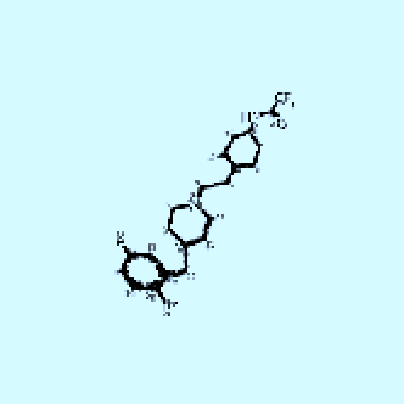 O=C(NC1CCC(CCN2CCC(Cc3cc(F)ccc3Br)CC2)CC1)C(F)(F)F